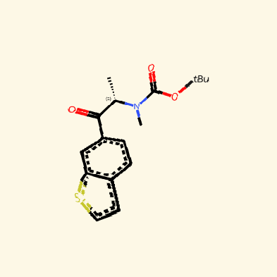 C[C@@H](C(=O)c1ccc2ccsc2c1)N(C)C(=O)OC(C)(C)C